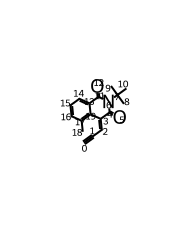 C#C/C=C1/C(=O)N(C(C)(C)C)C(=O)c2cccc(C)c21